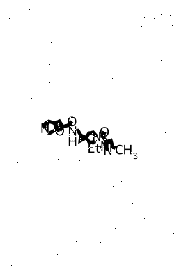 CCn1nc(C)cc1C(=O)N1CCC2(CC1)CC2CNC(=O)c1cc2ccncc2o1